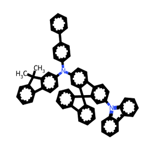 CC1(C)c2ccccc2-c2ccc(N(c3ccc(-c4ccccc4)cc3)c3ccc4c(c3)C3(c5ccccc5-c5ccccc53)c3cc(-n5c6ccccc6c6ccccc65)ccc3-4)cc21